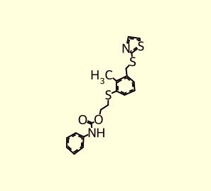 Cc1c(CSc2nccs2)cccc1SCCOC(=O)Nc1ccccc1